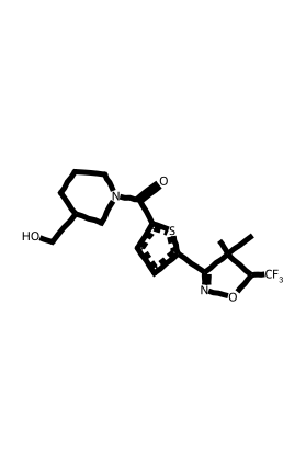 CC1(C)C(c2ccc(C(=O)N3CCCC(CO)C3)s2)=NOC1C(F)(F)F